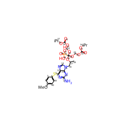 COc1ccc(Sc2nc(N)nc3c2ncn3CC(C)OC(OCOC(=O)OC(C)C)(OCOC(=O)OC(C)C)P(=O)(O)O)cc1